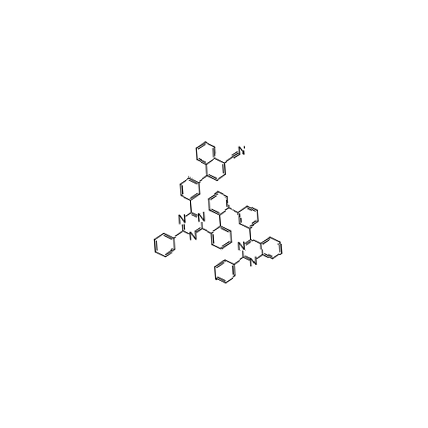 N#Cc1ccc(-c2cccc(-c3nc(-c4ccccc4)nc(-c4ccccc4-c4ccccc4-c4cccc(-c5nc(-c6ccccc6)nc6ccccc56)c4)n3)c2)c2ccccc12